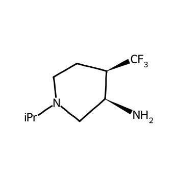 CC(C)N1CC[C@@H](C(F)(F)F)[C@@H](N)C1